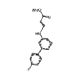 COC(=O)C=CNc1cccc(-c2ccc(F)cc2)c1